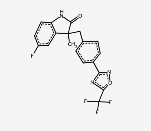 CC1(Cc2ccc(-c3noc(C(F)(F)F)n3)cc2)C(=O)Nc2ccc(F)cc21